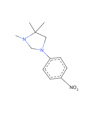 CN1CN(c2ccc([N+](=O)[O-])cc2)CC1(C)C